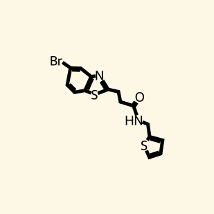 O=C(CCc1nc2cc(Br)ccc2s1)NCc1cccs1